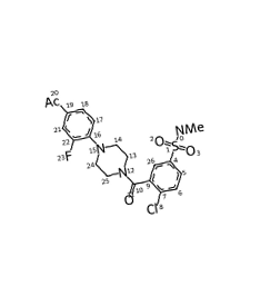 CNS(=O)(=O)c1ccc(Cl)c(C(=O)N2CCN(c3ccc(C(C)=O)cc3F)CC2)c1